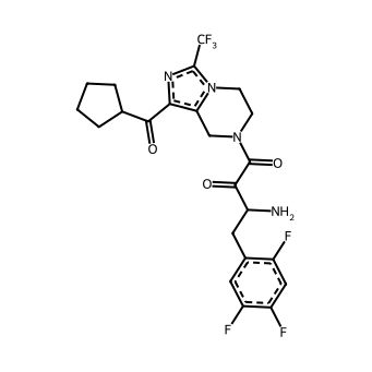 NC(Cc1cc(F)c(F)cc1F)C(=O)C(=O)N1CCn2c(C(F)(F)F)nc(C(=O)C3CCCC3)c2C1